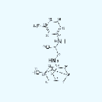 O=C(CNC12CC3CC(CC(O)(C3)C1)C2)Nc1cccc(F)c1